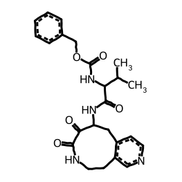 CC(C)C(NC(=O)OCc1ccccc1)C(=O)NC1Cc2ccncc2CCNC(=O)C1=O